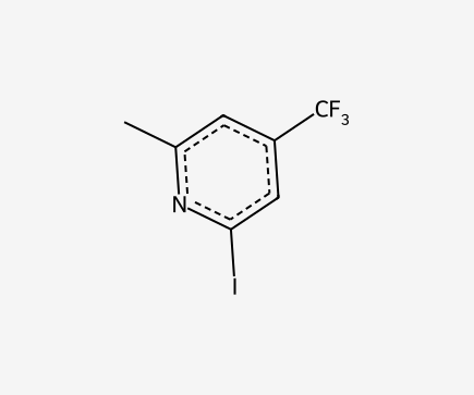 Cc1cc(C(F)(F)F)cc(I)n1